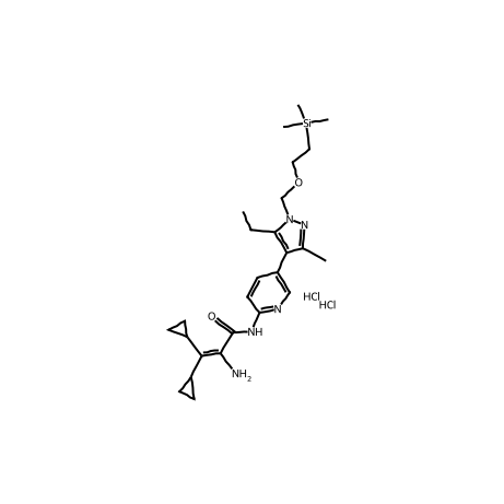 CCc1c(-c2ccc(NC(=O)C(N)=C(C3CC3)C3CC3)nc2)c(C)nn1COCC[Si](C)(C)C.Cl.Cl